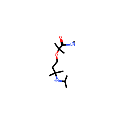 CNC(=O)C(C)(C)OCCC(C)(C)NC(C)C